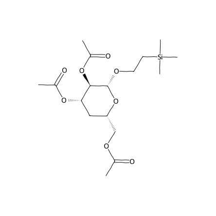 CC(=O)OC[C@@H]1C[C@H](OC(C)=O)[C@@H](OC(C)=O)[C@H](OCC[Si](C)(C)C)O1